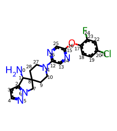 N[C@@H]1c2ccnn2CC12CCN(c1cnc(Oc3ccc(Cl)cc3F)cn1)CC2